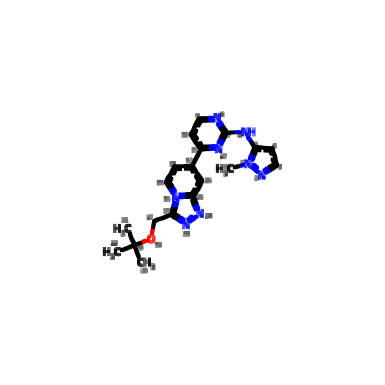 Cn1nccc1Nc1nccc(-c2ccn3c(COC(C)(C)C)nnc3c2)n1